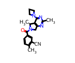 Cc1nc2c(c(N3CCC3)n1)[C@@H](C)N(C(=O)c1ccc(C)c(C#N)c1)C2